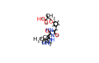 C=C(COc1cccc(/C=c2\[nH]c(=O)/c(=C/c3nc[nH]c3C(C)(C)C)[nH]c2=O)c1)C(=O)O